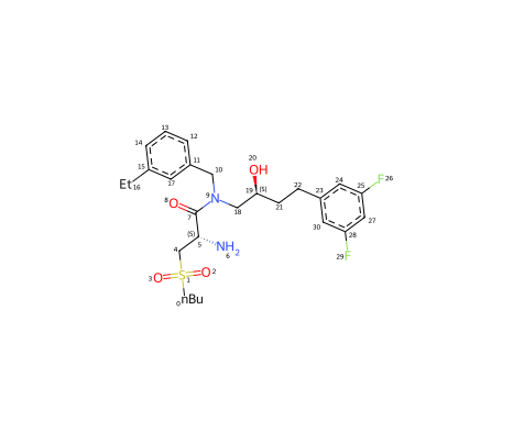 CCCCS(=O)(=O)C[C@@H](N)C(=O)N(Cc1cccc(CC)c1)C[C@@H](O)CCc1cc(F)cc(F)c1